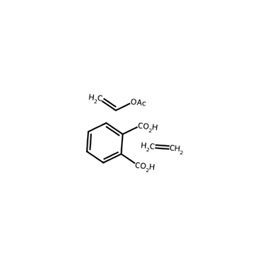 C=C.C=COC(C)=O.O=C(O)c1ccccc1C(=O)O